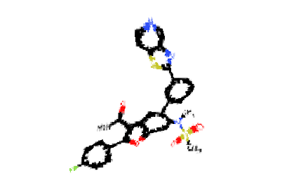 CNC(=O)c1c(-c2ccc(F)cc2)oc2cc(N(C)S(C)(=O)=O)c(-c3cccc(-c4nc5cnccc5s4)c3)cc12